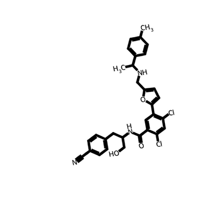 Cc1ccc(C(C)NCc2ccc(-c3cc(C(=O)NC(CO)Cc4ccc(C#N)cc4)c(Cl)cc3Cl)o2)cc1